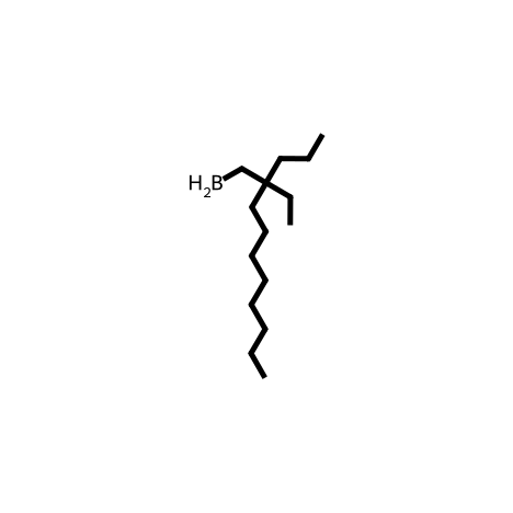 BCC(CC)(CCC)CCCCCCCC